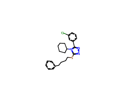 Clc1cccc(-c2nnc(SCCCCc3ccccc3)n2C2CCCCC2)c1